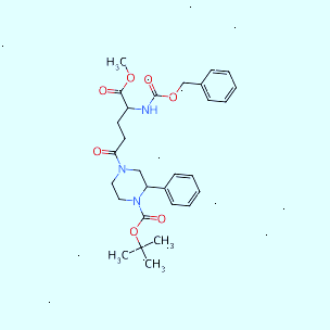 COC(=O)C(CCC(=O)N1CCN(C(=O)OC(C)(C)C)C(c2ccccc2)C1)NC(=O)OCc1ccccc1